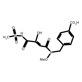 CON(Cc1ccc(C(=O)O)cc1)C(=O)C=C(O)C(=O)NS(C)(=O)=O